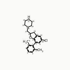 Cc1cccc(C)c1-c1cc(Cl)cc2c1OC(CN1CCNCC1)C2